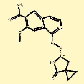 COc1cc2c(OC[C@@H]3CC4(CC4)C(=O)N3)nccc2cc1C(N)=O